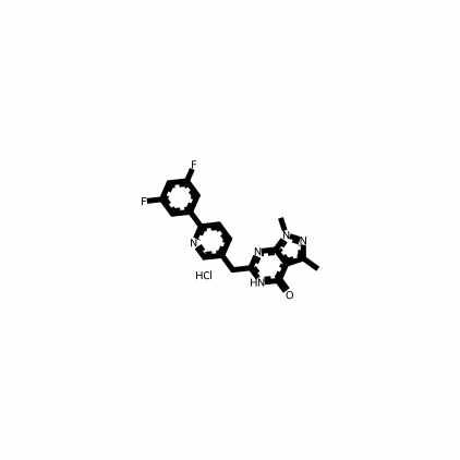 Cc1nn(C)c2nc(Cc3ccc(-c4cc(F)cc(F)c4)nc3)[nH]c(=O)c12.Cl